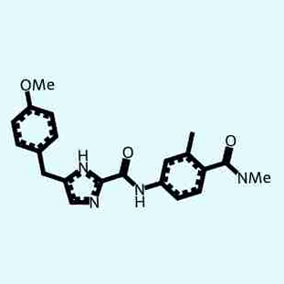 CNC(=O)c1ccc(NC(=O)c2ncc(Cc3ccc(OC)cc3)[nH]2)cc1C